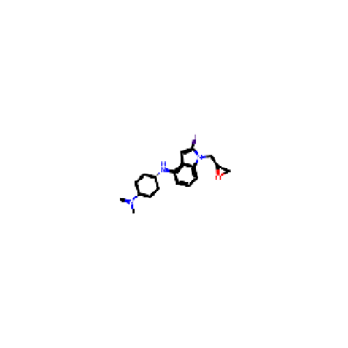 CN(C)[C@H]1CC[C@H](Nc2cccc3c2cc(I)n3CC2CO2)CC1